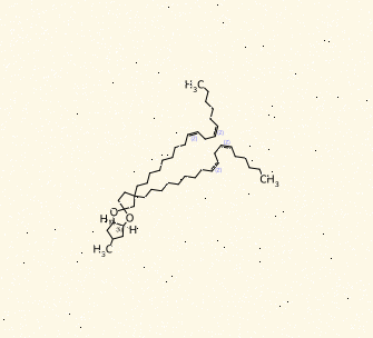 CCCCC/C=C\C/C=C\CCCCCCCCC1(CCCCCCCC/C=C\C/C=C\CCCCC)CCC2(C1)O[C@H]1CC(C)C[C@H]1O2